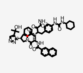 CC(C)(O)c1cnnn1[C@H]1C[C@@H](C(=O)NC(Cc2ccc(NC(=O)NC3CCCCC3)cc2)C(=O)C(N)=O)N(C(=O)[C@@H](CC2CCCCC2)NC(=O)c2ccc3ccccc3c2)C1